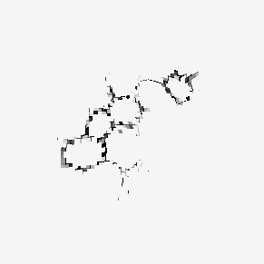 CN(C)c1ccnc2sc3c(=O)n(Cc4ccsc4)cnc3c12